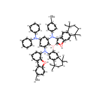 CC(C)(C)c1ccc(N2c3cc(N(c4ccccc4)c4ccccc4)cc4c3B(c3cc5c(cc3N4c3cccc4c3oc3ccc(C(C)(C)C)cc34)C(C)(C)CCC5(C)C)c3oc4cc5c(cc4c32)C(C)(C)CCC5(C)C)cc1